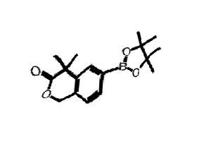 CC1(C)C(=O)OCc2ccc(B3OC(C)(C)C(C)(C)O3)cc21